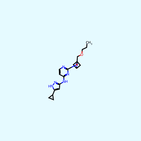 CCCOCC12CC(C1)N(c1nccc(Nc3cc(C4CC4)[nH]n3)n1)C2